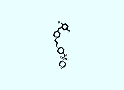 O=S(=O)(N[C@H]1CC[C@H](CCCN2CCC(Cc3cc(F)ccc3Br)CC2)CC1)N1CCOCC1